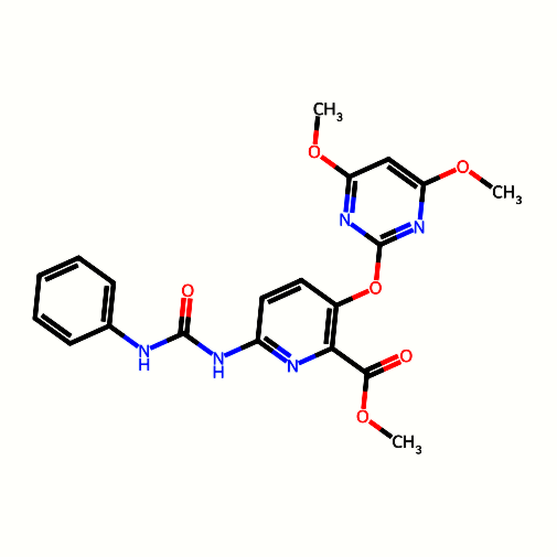 COC(=O)c1nc(NC(=O)Nc2ccccc2)ccc1Oc1nc(OC)cc(OC)n1